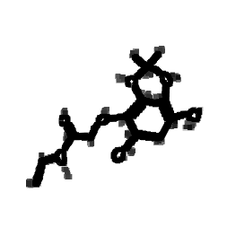 CCOC(=O)COc1c(Cl)cc(Cl)c2c1OC(C)(C)O2